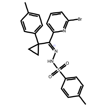 Cc1ccc(C2(/C(=N\NS(=O)(=O)c3ccc(C)cc3)c3cccc(Br)n3)CC2)cc1